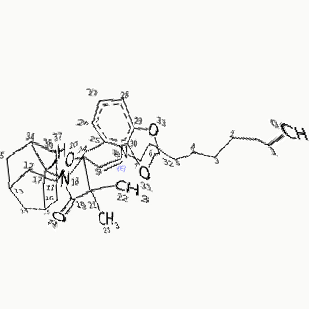 CCCCCCCC/N=C/O[C@]12CC3CC(C1)[C@@H](N1C(=O)C(C)(C)C1c1cccc4c1OCO4)C(C3)C2